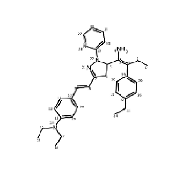 CCC(=C(N)C1CC(C=Cc2ccc(N(CC)CC)cc2)=NN1c1ccccn1)c1ccc(CC)cc1